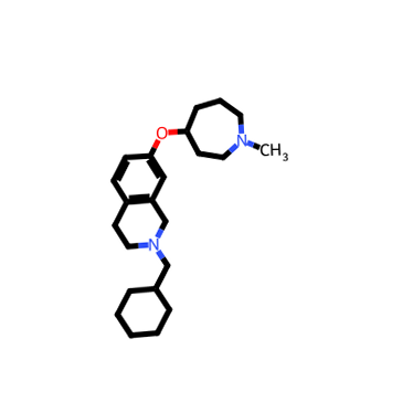 CN1CCCC(Oc2ccc3c(c2)CN(CC2CCCCC2)CC3)CC1